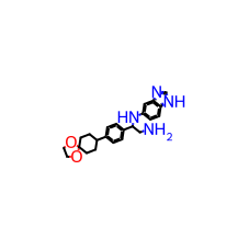 NCC(Nc1ccc2[nH]cnc2c1)c1ccc(C2CCC3(CC2)OCCO3)cc1